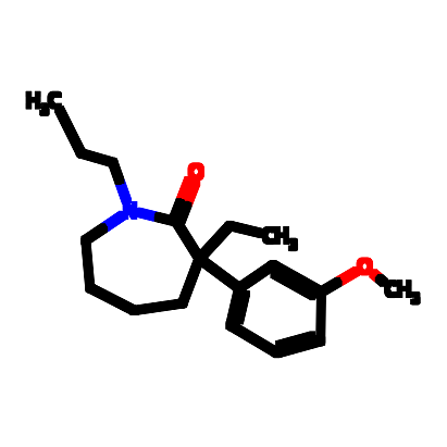 CCCN1CCCCC(CC)(c2cccc(OC)c2)C1=O